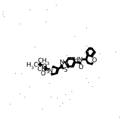 CC(C)(C)OC(=O)N1CC=C(c2nc3ccc(C(=O)NC4CCOc5ccccc54)cc3s2)C1